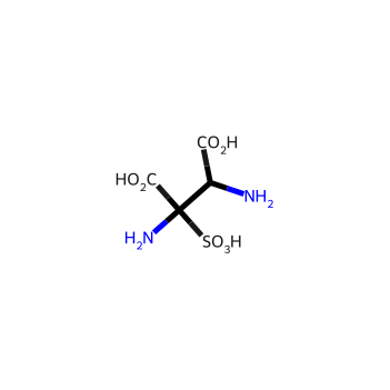 NC(C(=O)O)C(N)(C(=O)O)S(=O)(=O)O